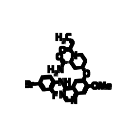 C=CC(=O)N1CC[C@@H](Oc2cc3c(Nc4ccc(Br)cc4F)ncnc3cc2OC)C[C@@H]1C(N)=O